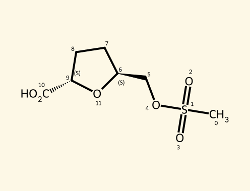 CS(=O)(=O)OC[C@@H]1CC[C@@H](C(=O)O)O1